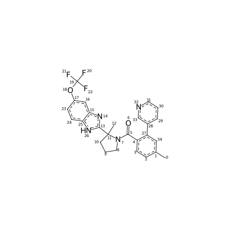 Cc1ccc(C(=O)N2CCCC2(C)c2nc3cc(OC(F)(F)F)ccc3[nH]2)c(-c2cccnc2)c1